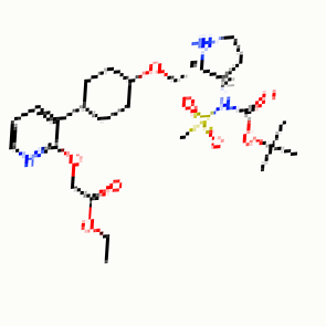 CCOC(=O)COc1ncccc1C1CCC(OC[C@@H]2NCC[C@@H]2N(C(=O)OC(C)(C)C)S(C)(=O)=O)CC1